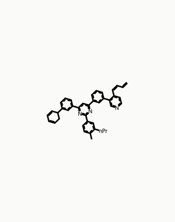 C=C/C=C\c1ccncc1-c1cccc(-c2cc(-c3cccc(C4C=CC=CC4)c3)nc(-c3ccc(C)c(CCC)c3)n2)c1